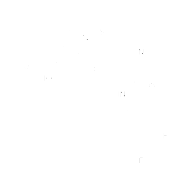 O=C(Nc1ccc(F)c(F)c1)c1c(Cl)c(SN2C3CCC34C2CC4(O)CO)c2n1CCC=C2